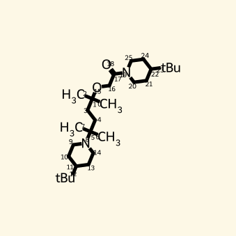 CC(C)(CCC(C)(C)N1CCC(C(C)(C)C)CC1)OCC(=O)N1CCC(C(C)(C)C)CC1